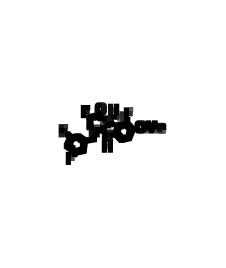 COc1ccc(Nc2nc(=O)c(F)cn2Cc2cc(F)cc(F)c2)c(C)c1F